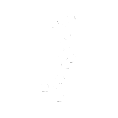 Cc1ccccc1N(c1ccc2c(c1)C(C)(C)c1c-2cc2ccc3cc4c(c5ccc1c2c35)C(C)(C)c1cc(N(c2ccccc2C)c2ccccc2C)ccc1-4)c1ccccc1C